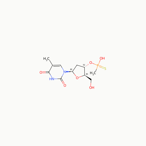 Cc1cn([C@H]2C[C@H](OP(C)(O)=S)[C@@H](CO)O2)c(=O)[nH]c1=O